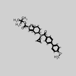 COc1ccc(-c2ccc(C(=O)N(C3CC3)C3CCc4nn(C(=O)OC(C)(C)C)cc4C3)cc2)cc1